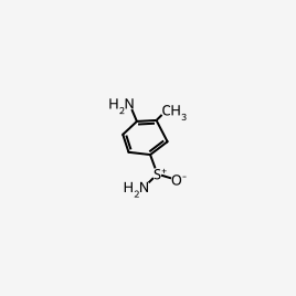 Cc1cc([S+](N)[O-])ccc1N